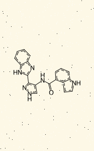 O=C(Nc1c[nH]nc1-c1nc2ccccc2[nH]1)c1cccc2[nH]ccc12